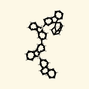 c1ccc2c(c1)-c1ccc(-n3c4ccccc4c4cc(-c5ccc6c(c5)c5ccccc5n6-c5ccc6c(ccc7ccccc76)c5)ccc43)cc1C21C2CC3CC(C2)CC1C3